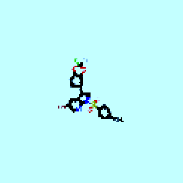 Cc1ccc(S(=O)(=O)n2cc(-c3ccc4c(c3)OC(C)(F)O4)c3cc(Br)cnc32)cc1